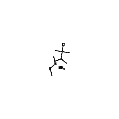 B.CC(C)C(C)(C)Cl.CSSC